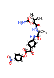 CC(NC(=O)C(OC(N)=O)C(C)C)C(=O)Nc1ccc(C(=O)C(=O)Oc2ccc([N+](=O)[O-])cc2)cc1